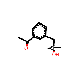 CC(=O)c1cccc(C[Si](C)(C)O)c1